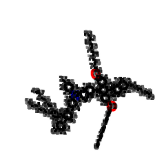 C#CC#CC#CC#CC#COc1ccc2c(-c3ccc4cc(N(c5ccc(C)cc5)c5ccc(-c6ccc7c(c6)C(CCCCCCCC)(CCCCCCCC)c6cc(C)ccc6-7)cc5)ccc4c3)c3cc(OCCCCCCCCCC)ccc3c(-c3ccc4cc(CCCCCC)ccc4c3)c2c1